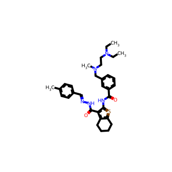 CCN(CC)CCN(C)Cc1cccc(C(=O)Nc2sc3c(c2C(=O)NN=Cc2ccc(C)cc2)CCCC3)c1